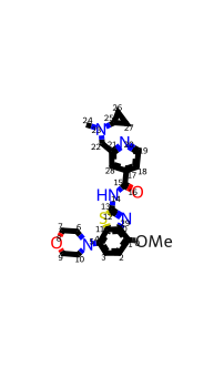 COc1ccc(N2CCOCC2)c2sc(NC(=O)c3ccnc(CN(C)C4CC4)c3)nc12